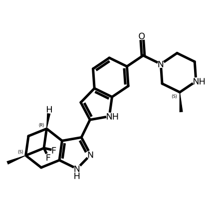 C[C@H]1CN(C(=O)c2ccc3cc(-c4n[nH]c5c4[C@H]4C[C@@](C)(C5)C4(F)F)[nH]c3c2)CCN1